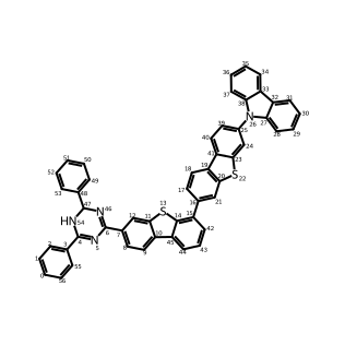 c1ccc(C2=NC(c3ccc4c(c3)sc3c(-c5ccc6c(c5)sc5cc(-n7c8ccccc8c8ccccc87)ccc56)cccc34)=NC(c3ccccc3)N2)cc1